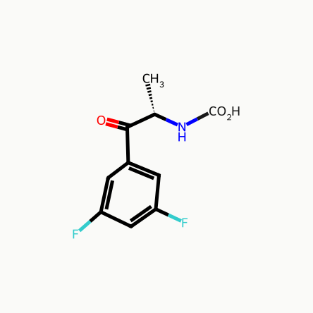 C[C@H](NC(=O)O)C(=O)c1cc(F)cc(F)c1